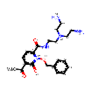 COC(=O)c1ccc(C(=O)NCCN(CCN)CCN)n(OCc2ccccc2)c1=O